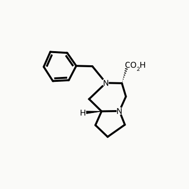 O=C(O)[C@@H]1CN2CCC[C@@H]2CN1Cc1ccccc1